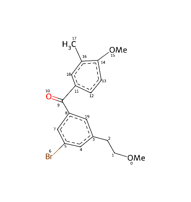 COCCc1cc(Br)cc(C(=O)c2ccc(OC)c(C)c2)c1